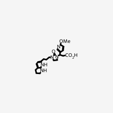 COc1ccc(C(CC(=O)O)N2CCN(CCCC3=CC=C4CCCNC4N3)C2=O)cn1